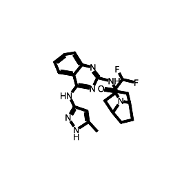 Cc1cc(Nc2nc(NC3CC4CCC(C3)N4C(=O)C(F)F)nc3ccccc23)n[nH]1